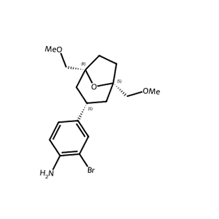 COC[C@@]12CC[C@@](COC)(C[C@H](c3ccc(N)c(Br)c3)C1)O2